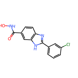 O=C(NO)c1ccc2nc(-c3cccc(Cl)c3)[nH]c2c1